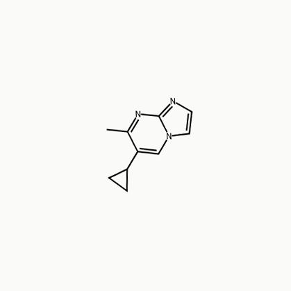 Cc1nc2nccn2cc1C1CC1